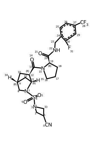 N#CC1CN(S(=O)(=O)N2C[C@H]3C[C@@H]2[C@H](C(=O)N2CCC[C@@H]2C(=O)NCc2ccc(C(F)(F)F)cc2F)C3)C1